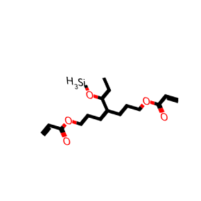 C=CC(=O)OCCCC(CCCOC(=O)C=C)C(CC)O[SiH3]